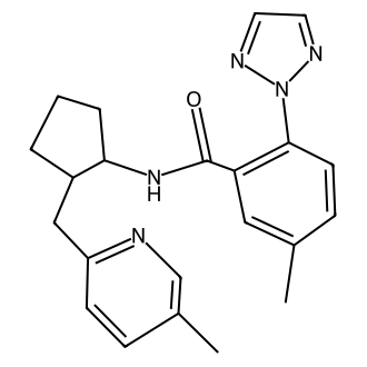 Cc1ccc(CC2CCCC2NC(=O)c2cc(C)ccc2-n2nccn2)nc1